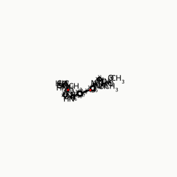 COC(=O)N[C@@H](C)C(=O)N1CCC[C@H]1c1nc2cc(C#Cc3ccc(-c4c[nH]c([C@@H]5CCCN5C(=O)[C@@H](NC(=O)OC)C(C)C)n4)cc3)ccc2[nH]1